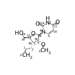 C=CC[C@H]1[C@@H](OC)[C@H](n2ccc(=O)[nH]c2=O)O[C@@H]1CO